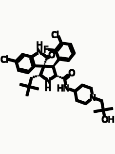 CC(C)(C)C[C@H]1N[C@@H](C(=O)NC2CCN(CC(C)(C)O)CC2)[C@H](c2cccc(Cl)c2F)[C@@]12C(=O)Nc1cc(Cl)ccc12